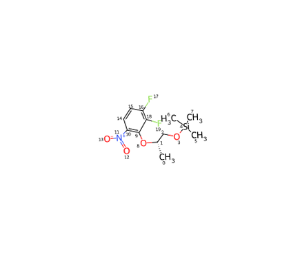 C[C@@H](CO[Si](C)(C)C)Oc1c([N+](=O)[O-])ccc(F)c1F